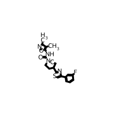 Cc1noc(NC(=O)N2CCC(c3nc(-c4cccc(F)c4)cs3)CC2)c1C